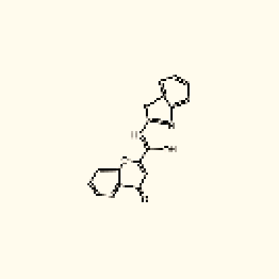 O=c1cc(C(O)=[SH]c2nc3ccccc3s2)oc2ccccc12